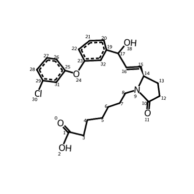 O=C(O)CCCCCCN1C(=O)CC[C@@H]1/C=C/C(O)c1cccc(Oc2cccc(Cl)c2)c1